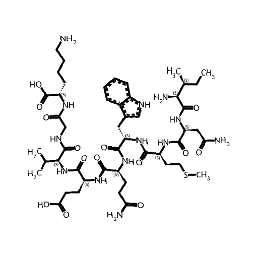 CC[C@H](C)[C@H](N)C(=O)N[C@@H](CC(N)=O)C(=O)N[C@@H](CCSC)C(=O)N[C@@H](Cc1c[nH]c2ccccc12)C(=O)N[C@@H](CCC(N)=O)C(=O)N[C@@H](CCC(=O)O)C(=O)N[C@H](C(=O)NCC(=O)N[C@@H](CCCCN)C(=O)O)C(C)C